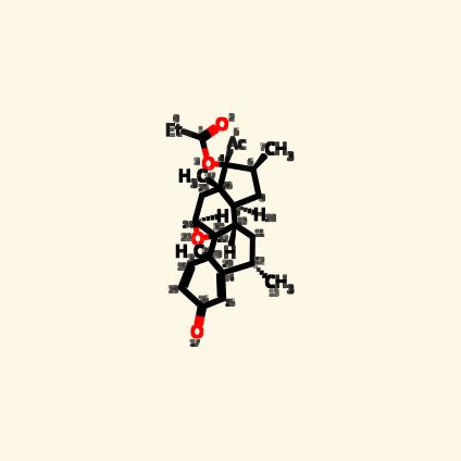 CCC(=O)O[C@]1(C(C)=O)[C@@H](C)C[C@H]2[C@@H]3C[C@H](C)C4=CC(=O)C=C[C@]4(C)C34O[C@H]4C[C@@]21C